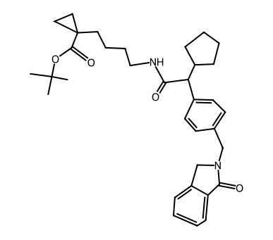 CC(C)(C)OC(=O)C1(CCCCNC(=O)C(c2ccc(CN3Cc4ccccc4C3=O)cc2)C2CCCC2)CC1